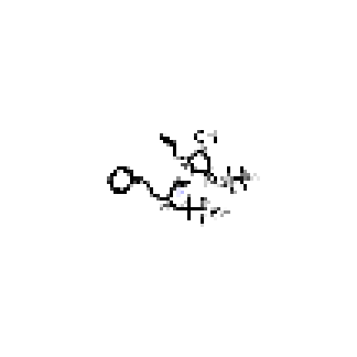 C=CC[C@@H]1[C@@H](/C=C/[C@H](CCc2ccccc2)CC(C)(C)[Si](C)(C)O)[C@H](O[Si](C)(C)C(C)(C)C)C[C@@H]1O